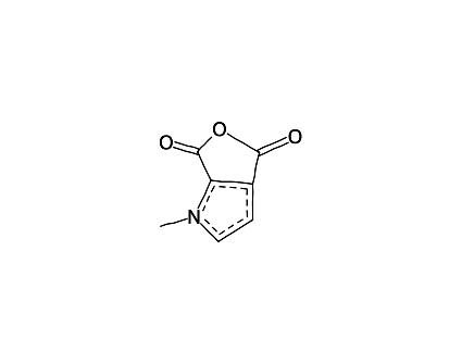 Cn1ccc2c1C(=O)OC2=O